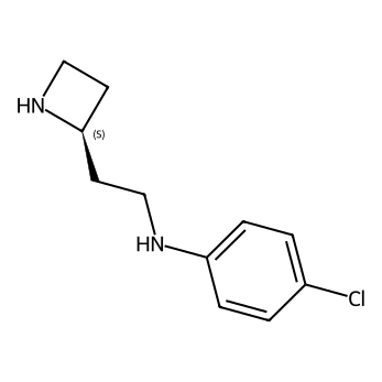 Clc1ccc(NCC[C@@H]2CCN2)cc1